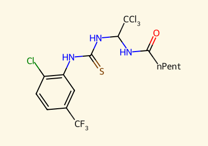 CCCCCC(=O)NC(NC(=S)Nc1cc(C(F)(F)F)ccc1Cl)C(Cl)(Cl)Cl